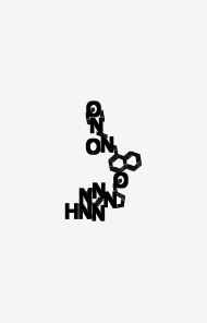 O=CN(CCN1CCOCC1)Cc1ccc(OCC2CCCN2c2ncnc3[nH]cnc23)c2ccccc12